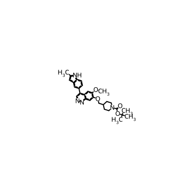 COc1cc2c(-c3ccc4[nH]c(C)cc4c3)cnnc2cc1OCC1CCN(C(=O)OC(C)(C)C)CC1